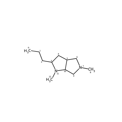 CCCC1CC2CN(C)CC2N1C